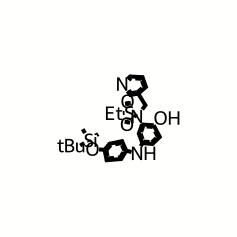 CCS(=O)(=O)N(Cc1cccnc1)c1cc(Nc2ccc(O[Si](C)(C)C(C)(C)C)cc2)ccc1O